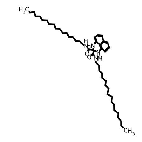 CCCCCCCCCCCCCCCCCCNC(=O)C1(C(=O)NCCCCCCCCCCCCCCCCCC)Nc2cccc3cccc(c23)N1